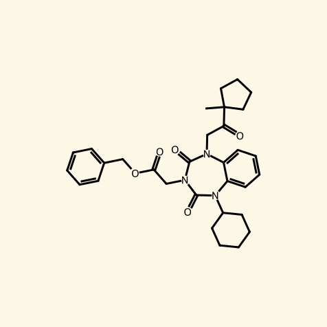 CC1(C(=O)CN2C(=O)N(CC(=O)OCc3ccccc3)C(=O)N(C3CCCCC3)c3ccccc32)CCCC1